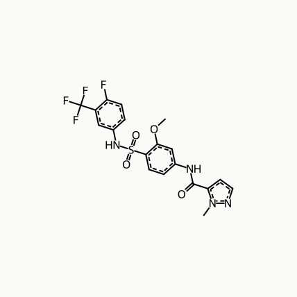 COc1cc(NC(=O)c2ccnn2C)ccc1S(=O)(=O)Nc1ccc(F)c(C(F)(F)F)c1